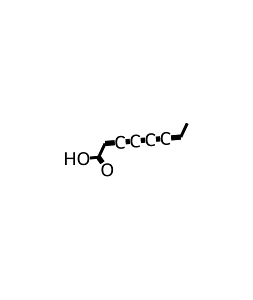 CC=C=C=C=C=CC(=O)O